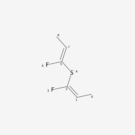 CC=C(F)SC(F)=CC